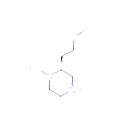 CSCC[C@H]1CNCCN1C